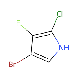 Fc1c(Br)c[nH]c1Cl